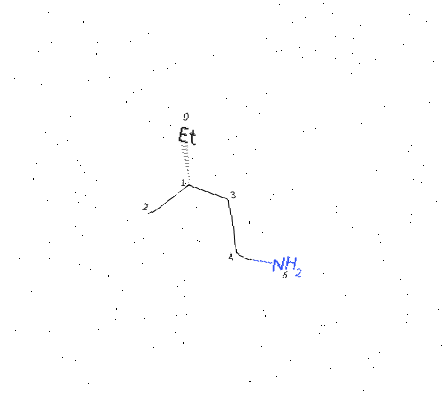 CC[C@@H](C)CCN